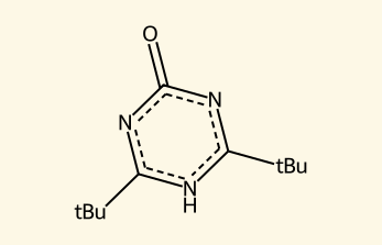 CC(C)(C)c1nc(=O)nc(C(C)(C)C)[nH]1